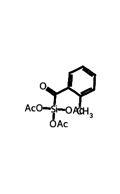 CC(=O)O[Si](OC(C)=O)(OC(C)=O)C(=O)c1ccccc1C